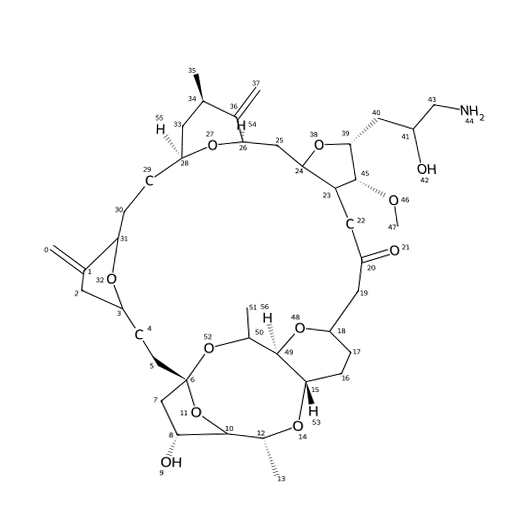 C=C1CC2CC[C@]34C[C@@H](O)C(O3)[C@@H](C)O[C@H]3CCC(CC(=O)CC5C(C[C@H]6O[C@@H](CCC1O2)C[C@@H](C)C6=C)O[C@H](CC(O)CN)[C@@H]5OC)O[C@@H]3C(C)O4